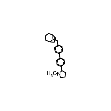 CN1CCCC1c1ccc(-c2ccc(CN3C4CCCC3CC4)cc2)cc1